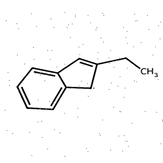 CCC1=Cc2ccccc2[CH]1